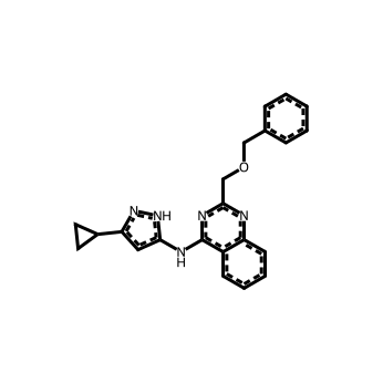 c1ccc(COCc2nc(Nc3cc(C4CC4)n[nH]3)c3ccccc3n2)cc1